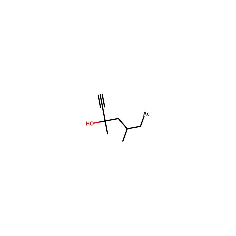 C#CC(C)(O)CC(C)CC(C)=O